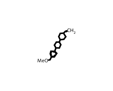 C=CC1CCC(C2CCC(c3ccc(COC)cc3)CC2)CC1